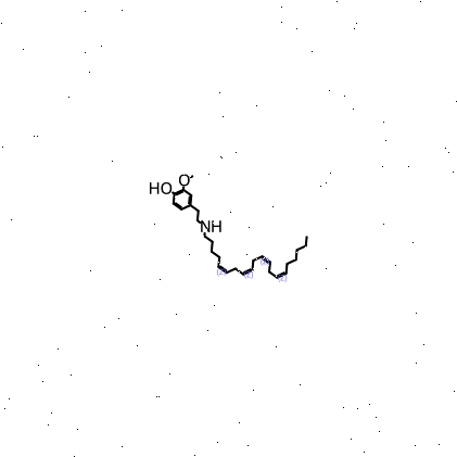 CCCCC/C=C\C/C=C\C/C=C\C/C=C\CCCCNCCc1ccc(O)c(OC)c1